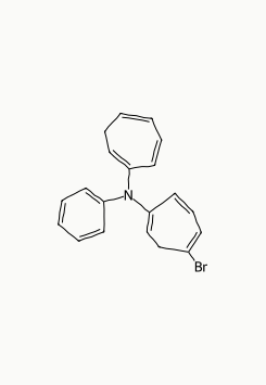 BrC1=CC=CC(N(C2=CCC=CC=C2)c2ccccc2)=CC1